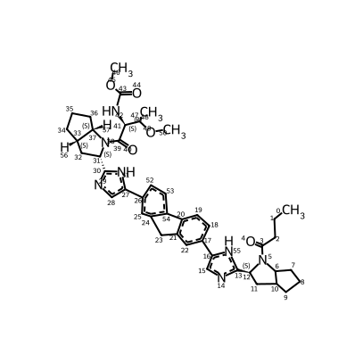 CCCC(=O)N1C2CCCC2C[C@H]1c1ncc(-c2ccc3c(c2)Cc2cc(-c4cnc([C@@H]5C[C@@H]6CCC[C@@H]6N5C(=O)[C@@H](NC(=O)OC)[C@@H](C)OC)[nH]4)ccc2-3)[nH]1